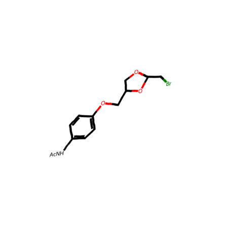 CC(=O)Nc1ccc(OCC2COC(CBr)O2)cc1